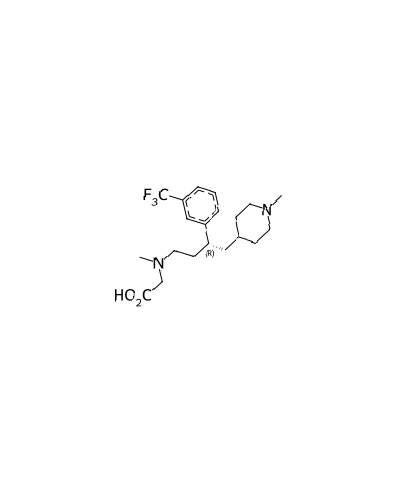 CN1CCC(C[C@H](CCN(C)CC(=O)O)c2cccc(C(F)(F)F)c2)CC1